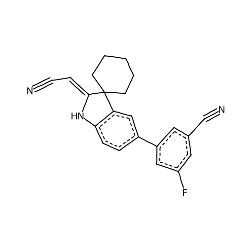 N#CC=C1Nc2ccc(-c3cc(F)cc(C#N)c3)cc2C12CCCCC2